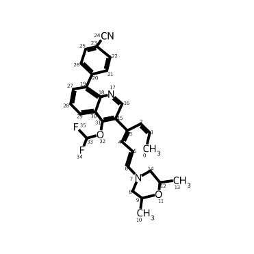 C\C=C/C(=C\C=C\N1CC(C)OC(C)C1)c1cnc2c(-c3ccc(C#N)cc3)cccc2c1OC(F)F